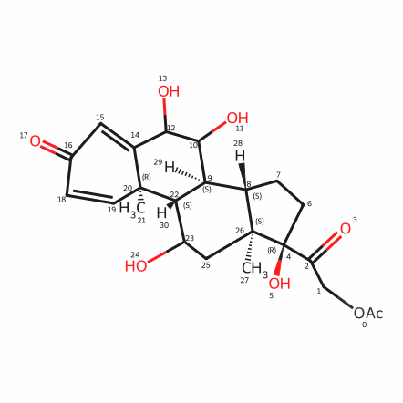 CC(=O)OCC(=O)[C@@]1(O)CC[C@H]2[C@@H]3C(O)C(O)C4=CC(=O)C=C[C@]4(C)[C@H]3C(O)C[C@@]21C